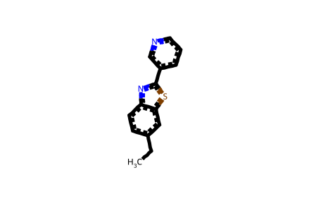 CCc1ccc2nc(-c3cccnc3)sc2c1